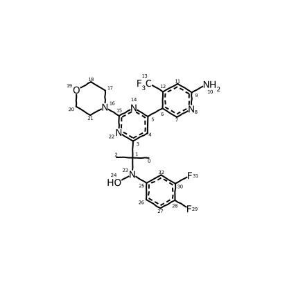 CC(C)(c1cc(-c2cnc(N)cc2C(F)(F)F)nc(N2CCOCC2)n1)N(O)c1ccc(F)c(F)c1